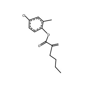 C=C(CCCC)C(=O)Oc1ccc(Cl)cc1C